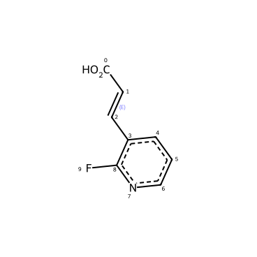 O=C(O)/C=C/c1cccnc1F